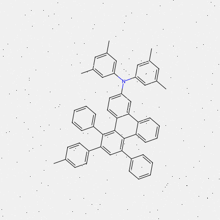 Cc1ccc(-c2cc(-c3ccccc3)c3c4ccccc4c4cc(N(c5cc(C)cc(C)c5)c5cc(C)cc(C)c5)ccc4c3c2-c2ccccc2)cc1